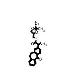 CC(C(=O)OCC1COC(C)(C)O1)c1ccc2c(c1)CCc1ccccc1C2=O